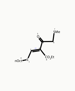 CCCCCCCCS/C=C(/C(=O)CSC)C(=O)OCC